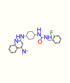 CN(C)c1cc(NC2CCC(NC(=O)NCc3ccccc3F)CC2)nc2ccccc12